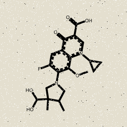 COc1c(N2CC(C)C(C)(C(O)O)C2)c(F)cc2c(=O)c(C(=O)O)cn(C3CC3)c12